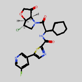 O=C(NC(C(=O)N1C[C@H](Cl)[C@H]2OCC(=O)[C@H]21)C1CCCCC1)c1ncc(-c2cncc(F)c2)s1